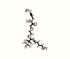 CC(C)C#CCNC(=O)COCCOC(SSCCCC(C)C)C(C)(C)[Si](C)(C)C